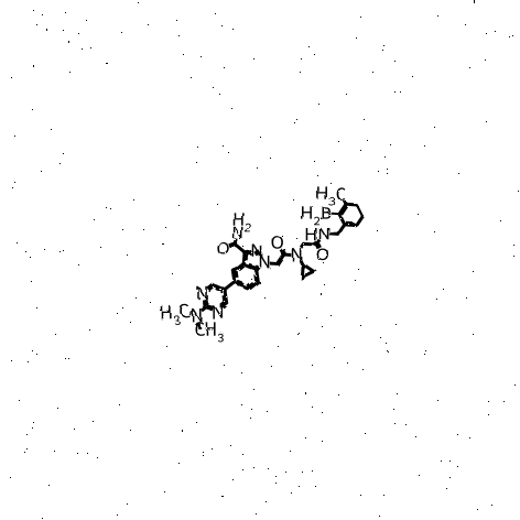 BC1=C(C)CCC=C1CNC(=O)CN(C(=O)Cn1nc(C(N)=O)c2cc(-c3cnc(N(C)C)nc3)ccc21)C1CC1